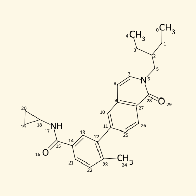 CCC(CC)Cn1ccc2cc(-c3cc(C(=O)NC4CC4)ccc3C)ccc2c1=O